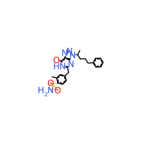 Cc1cc(Cc2nc3c(nnn3C(C)CCCc3ccccc3)c(=O)[nH]2)ccc1S(N)(=O)=O